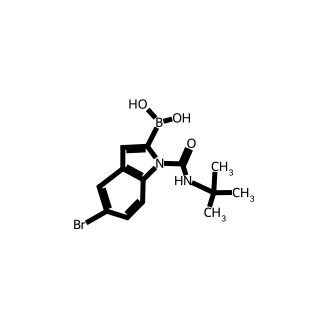 CC(C)(C)NC(=O)n1c(B(O)O)cc2cc(Br)ccc21